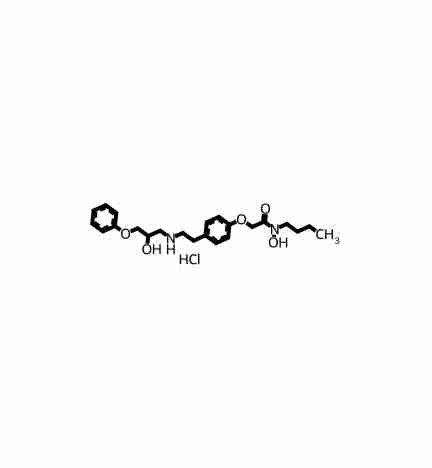 CCCCN(O)C(=O)COc1ccc(CCNCC(O)COc2ccccc2)cc1.Cl